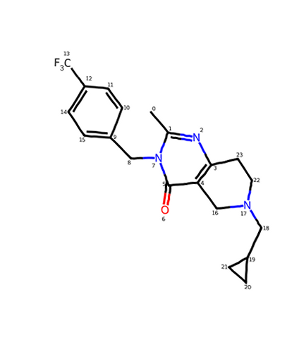 Cc1nc2c(c(=O)n1Cc1ccc(C(F)(F)F)cc1)CN(CC1CC1)CC2